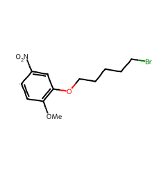 COc1c[c]c([N+](=O)[O-])cc1OCCCCCBr